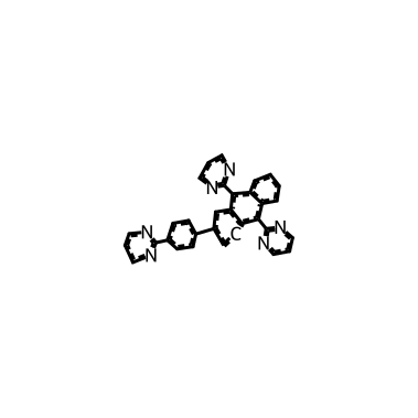 c1cnc(-c2ccc(-c3ccc4c(-c5ncccn5)c5ccccc5c(-c5ncccn5)c4c3)cc2)nc1